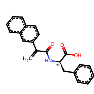 C=C(C(=O)N[C@H](Cc1ccccc1)C(=O)O)c1ccc2ccccc2c1